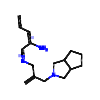 C=C/C=C(N)\C=N/CC(=C)CN1CC2CCCC2C1